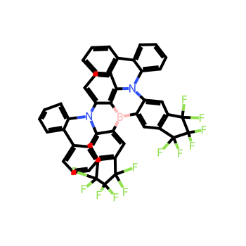 FC1(F)c2cc3c(cc2C(F)(F)C1(F)F)N(c1ccccc1-c1ccccc1)c1cccc2c1B3c1cc3c(cc1N2c1ccccc1-c1ccccc1)C(F)(F)C(F)(F)C3(F)F